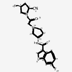 N#C[C@@H]1C[C@H](F)CN1C(=O)CN1CC[C@H](NC(=O)c2coc3cc(F)ccc23)C1